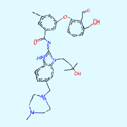 Cc1cc(Oc2cccc(O)c2C=O)cc(C(=O)/N=c2\[nH]c3ccc(CN4CCN(C)CC4)cc3n2CC(C)(C)O)c1